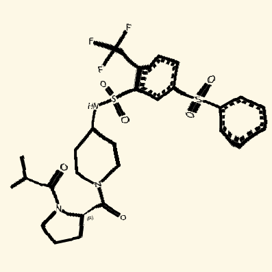 CC(C)C(=O)N1CCC[C@@H]1C(=O)N1CCC(NS(=O)(=O)c2cc(S(=O)(=O)c3ccccc3)ccc2C(F)(F)F)CC1